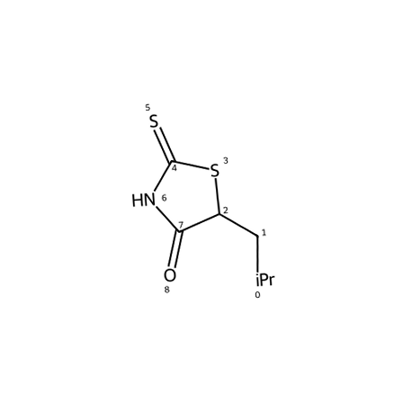 CC(C)CC1SC(=S)NC1=O